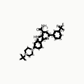 CC(C)(C)N1CCN(c2ccc3c(c2)[nH]c2c(C(N)=O)cc(-c4cccc(C(F)(F)F)c4)nc23)CC1